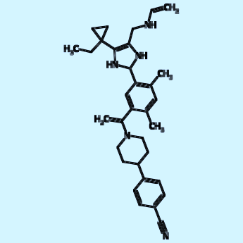 C=CNCC1=C(C2(CC)CC2)NC(c2cc(C(=C)N3CCC(c4ccc(C#N)cc4)CC3)c(C)cc2C)N1